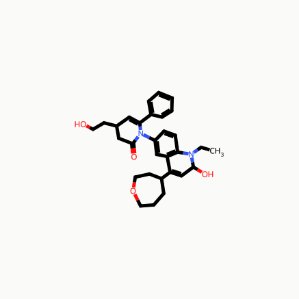 CCN1c2ccc(N3C(=O)CC(CCO)C=C3c3ccccc3)cc2C(C2CCCOCC2)=CC1O